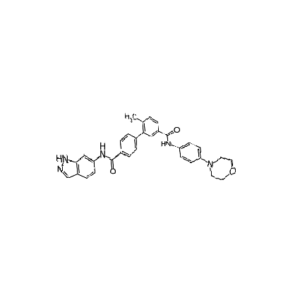 Cc1ccc(C(=O)Nc2ccc(N3CCOCC3)cc2)cc1-c1ccc(C(=O)Nc2ccc3cn[nH]c3c2)cc1